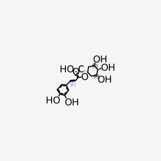 O=C(/C=C/c1ccc(O)c(O)c1)O[C@]1(C(=O)O)C[C@@H](O)[C@H](O)[C@H](O)C1